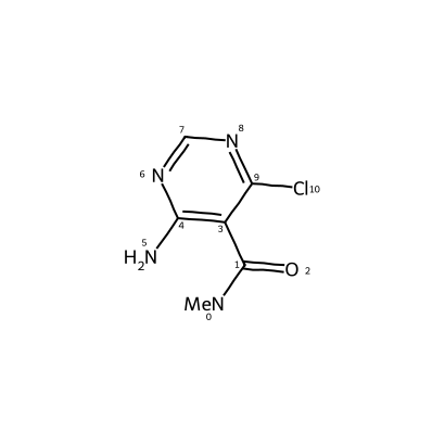 CNC(=O)c1c(N)ncnc1Cl